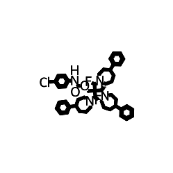 O=C(Nc1ccc(Cl)cc1)OCC(C(F)N1CCCC(c2ccccc2)CC1)(C(F)N1CCCC(c2ccccc2)CC1)C(F)N1CCCC(c2ccccc2)CC1